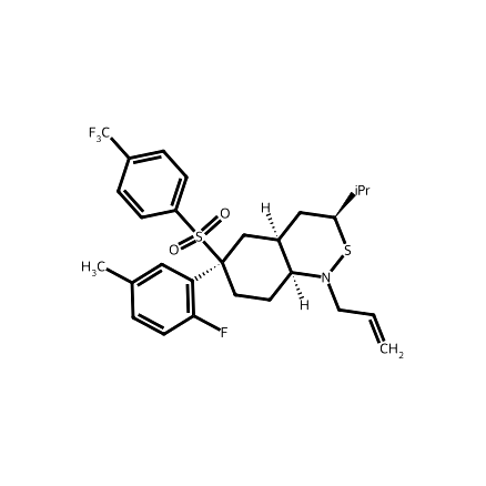 C=CCN1S[C@H](C(C)C)C[C@@H]2C[C@](c3cc(C)ccc3F)(S(=O)(=O)c3ccc(C(F)(F)F)cc3)CC[C@@H]21